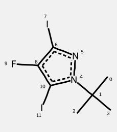 CC(C)(C)n1nc(I)c(F)c1I